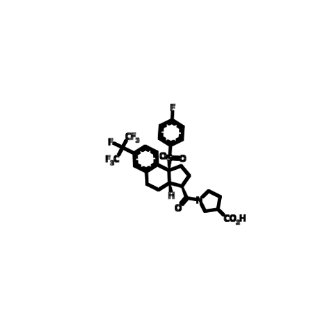 O=C(O)C1CCN(C(=O)[C@@H]2CC[C@@]3(S(=O)(=O)c4ccc(F)cc4)c4ccc(C(F)(C(F)(F)F)C(F)(F)F)cc4CC[C@@H]23)C1